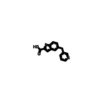 O=C(O)c1cc2cc(Cc3cccnc3)ccc2s1